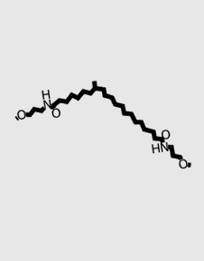 COCCCNC(=O)CCCCCCCCCCCCC(C)CCCCCCC(=O)NCCCOC